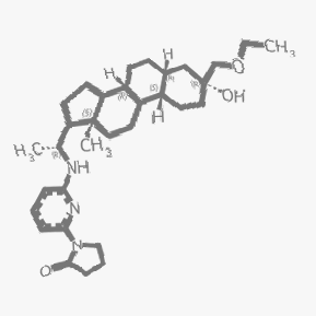 CCOC[C@@]1(O)CC[C@@H]2C3CC[C@@]4(C)C(CCC4[C@@H](C)Nc4cccc(N5CCCC5=O)n4)[C@@H]3CC[C@@H]2C1